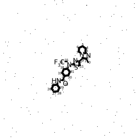 Cc1nc2ccccn2c1-c1csc(N(CC(F)(F)F)c2ccc(C(=O)Nc3ccccc3)cc2)n1